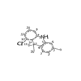 Cc1ccc2c(c1)Nc1cccc(Cl)c1C2(C)C